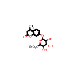 CCOC(=O)C1OC(Oc2ccc3c(C)cc(=O)oc3c2)C(O)[C@H](O)C1O